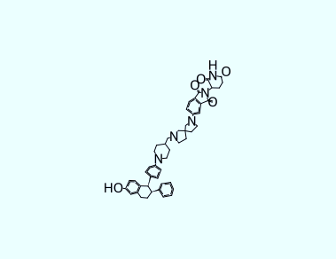 O=C1CCC(N2C(=O)c3ccc(N4CCC5(CCN(CC6CCN(c7ccc([C@@H]8c9ccc(O)cc9CC[C@@H]8c8ccccc8)cc7)CC6)C5)C4)cc3C2=O)C(=O)N1